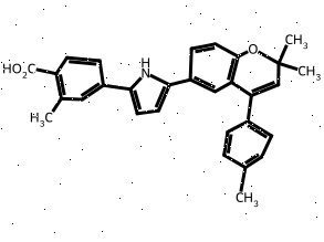 Cc1ccc(C2=CC(C)(C)Oc3ccc(-c4ccc(-c5ccc(C(=O)O)c(C)c5)[nH]4)cc32)cc1